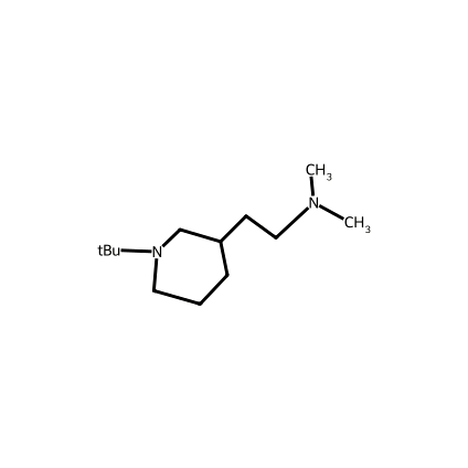 CN(C)CCC1CCCN(C(C)(C)C)C1